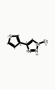 CCn1cc(-c2ccsc2)nn1